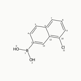 OB(O)c1ccc2cccc(Cl)c2c1